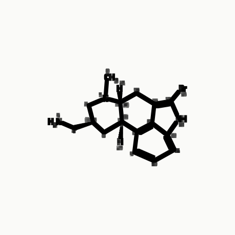 CN1C[C@H](CN)C[C@@H]2c3cccc4[nH]c(Br)c(c34)C[C@H]21